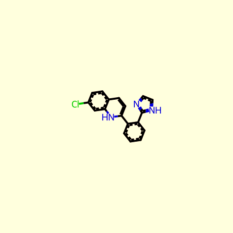 Clc1ccc2c(c1)NC(c1ccccc1-c1ncc[nH]1)=C=C2